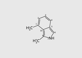 Cc1cccc2c[nH]c(C)c12